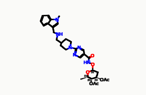 CC(=O)O[C@@H]1[C@H](C)O[C@@H](ONC(=O)c2cnc(N3CCC(CNCc4cn(C)c5ccccc45)CC3)nc2)C[C@@H]1OC(C)=O